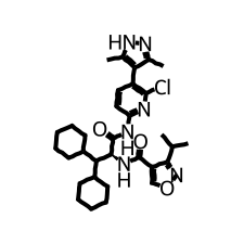 Cc1n[nH]c(C)c1-c1ccc(NC(=O)[C@@H](NC(=O)c2conc2C(C)C)C(C2CCCCC2)C2CCCCC2)nc1Cl